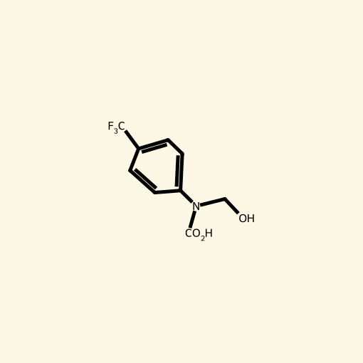 O=C(O)N(CO)c1ccc(C(F)(F)F)cc1